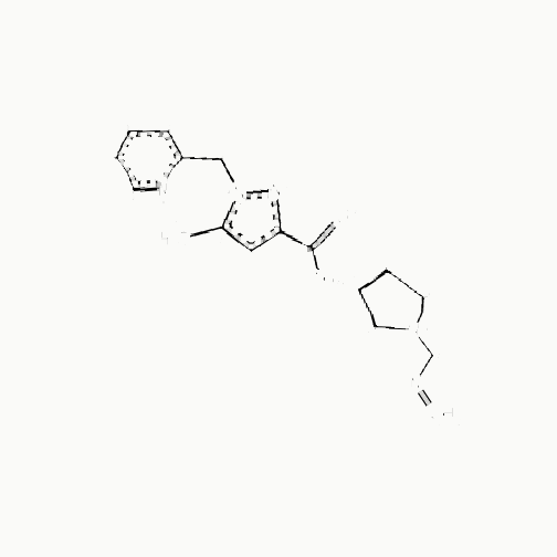 C=NCN1CC[C@@H](NC(=O)c2cc(C)n(Cc3ccccn3)n2)C1